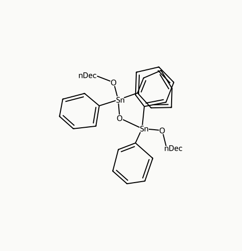 CCCCCCCCCC[O][Sn]([O][Sn]([O]CCCCCCCCCC)([c]1ccccc1)[c]1ccccc1)([c]1ccccc1)[c]1ccccc1